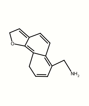 NCC1=c2ccc3c(c2CC=C1)OCC=3